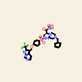 O=C(NO)[C@H](CNS(=O)(=O)c1ccc(OCc2c(C(F)(F)F)nn3cnccc23)cc1)N1CCN(Cc2ccccc2)CC1